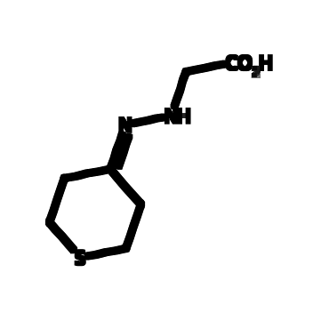 O=C(O)CNN=C1CCSCC1